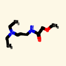 CCN(CC)CCCNC(=O)COC